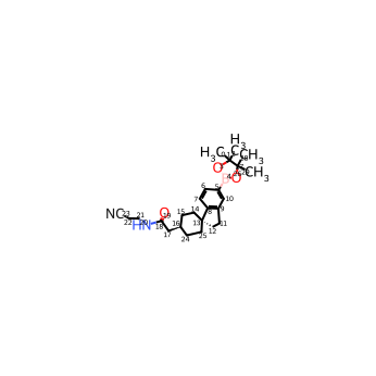 CC1(C)OB(c2ccc3c(c2)CC[C@]32CC[C@H](CC(=O)NCCC#N)CC2)OC1(C)C